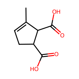 CC1=CCC(C(=O)O)C1C(=O)O